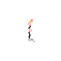 CCCCOCCOP(=O)(F)F